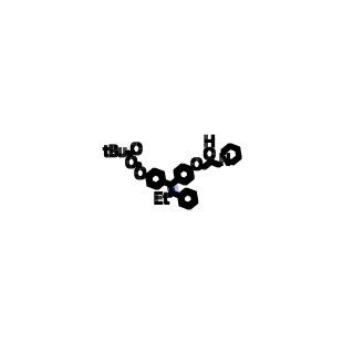 CC/C(=C(\c1ccc(OCOC(=O)C(C)(C)C)cc1)c1ccc(OCC(O)CN2CCCCC2)cc1)c1ccccc1